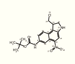 CC(C)(C)OC(=O)Nc1ccc2c3c(cc([N+](=O)[O-])c2c1)NCC3CCl